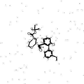 CCc1cccc(-c2c(Cl)cccc2C(=O)[C@H]2CN(C(=O)OC(C)(C)C)CCO2)c1